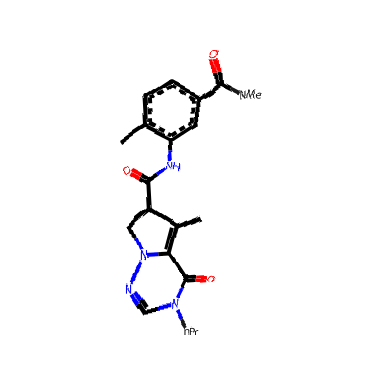 CCCN1C=NN2CC(C(=O)Nc3cc(C(=O)NC)ccc3C)C(C)=C2C1=O